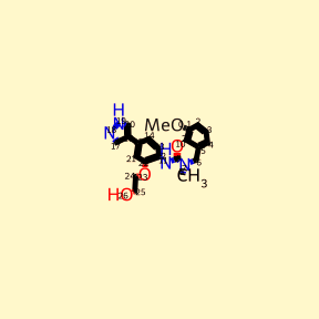 COc1cccc(CN(C)C(=O)Nc2ccc(-c3cn[nH]c3)cc2OCCO)c1